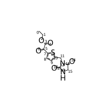 CCOC(=O)C(=O)c1ccc(CN2C(=O)CNC2=O)s1